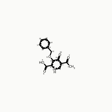 CC(=O)c1c[nH]c(C(=O)O)c(OCc2ccccc2)c1=O